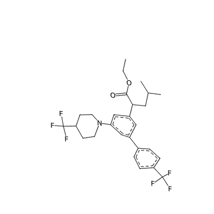 CCOC(=O)C(CC(C)C)c1cc(-c2ccc(C(F)(F)F)cc2)cc(N2CCC(C(F)(F)F)CC2)c1